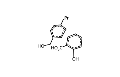 CC(C)c1ccc(CO)cc1.O=C(O)c1ccccc1O